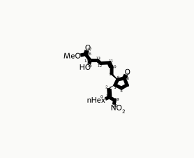 CCCCCC/C(=C/[C@H]1CCC(=O)[C@@H]1C/C=C\CCC(O)C(=O)OC)C[N+](=O)[O-]